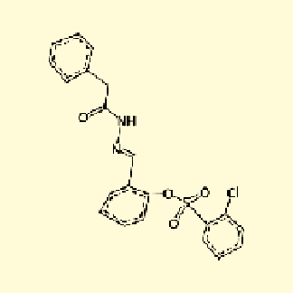 O=C(Cc1ccccc1)NN=Cc1ccccc1OS(=O)(=O)c1ccccc1Cl